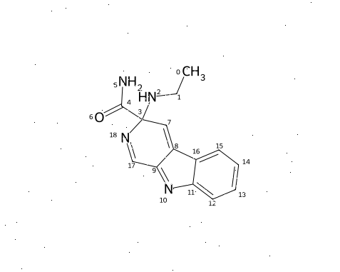 CCNC1(C(N)=O)C=C2C(=Nc3ccccc32)C=N1